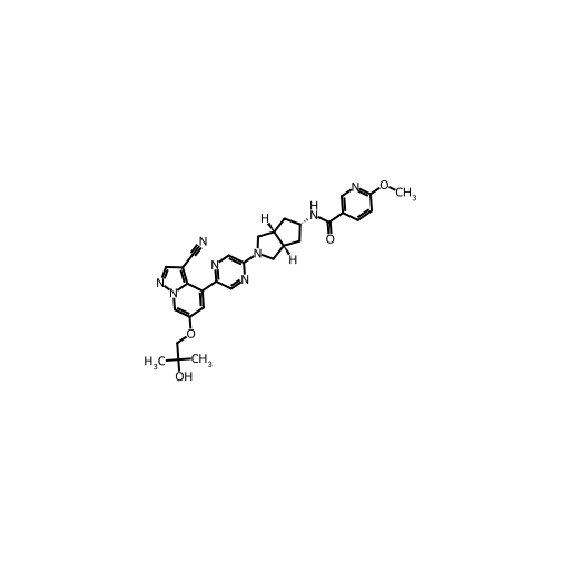 COc1ccc(C(=O)N[C@@H]2C[C@@H]3CN(c4cnc(-c5cc(OCC(C)(C)O)cn6ncc(C#N)c56)cn4)C[C@@H]3C2)cn1